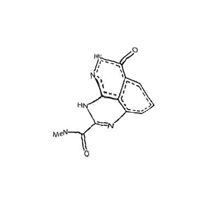 CNC(=O)C1=Nc2cccc3c(=O)[nH]nc(c23)N1